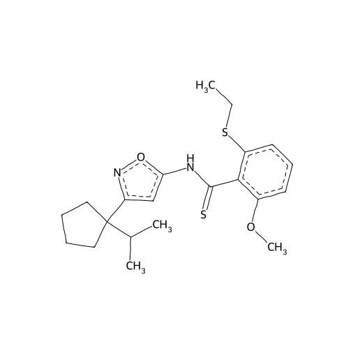 CCSc1cccc(OC)c1C(=S)Nc1cc(C2(C(C)C)CCCC2)no1